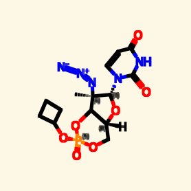 C[C@@]1(N=[N+]=[N-])C2O[P@](=O)(OC3CCC3)OC[C@H]2O[C@H]1n1ccc(=O)[nH]c1=O